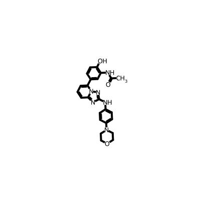 CC(=O)Nc1cc(-c2cccc3nc(Nc4ccc(N5CCOCC5)cc4)nn23)ccc1O